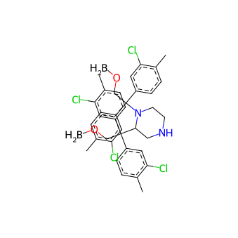 BOCC(c1ccc(C)c(Cl)c1)(c1ccc(C)c(Cl)c1)C1CNCCN1C(COB)(c1ccc(C)c(Cl)c1)c1ccc(C)c(Cl)c1